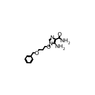 NC(=O)c1ncn(OCCCOCc2ccccc2)c1N